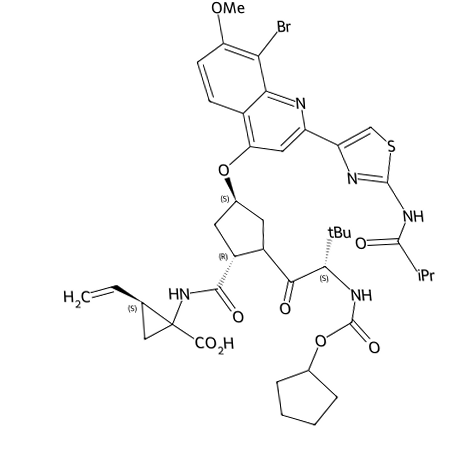 C=C[C@@H]1CC1(NC(=O)[C@@H]1C[C@@H](Oc2cc(-c3csc(NC(=O)C(C)C)n3)nc3c(Br)c(OC)ccc23)CC1C(=O)[C@@H](NC(=O)OC1CCCC1)C(C)(C)C)C(=O)O